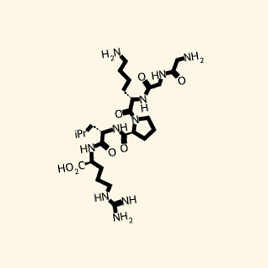 CC(C)C[C@H](NC(=O)[C@@H]1CCCN1C(=O)[C@H](CCCCN)NC(=O)CNC(=O)CN)C(=O)N[C@@H](CCCNC(=N)N)C(=O)O